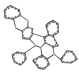 c1ccc(N2B3c4ccccc4N(c4ccccc4)c4cc5ccccc5c(c43)-c3cc4c(cc32)Sc2ccccc2O4)cc1